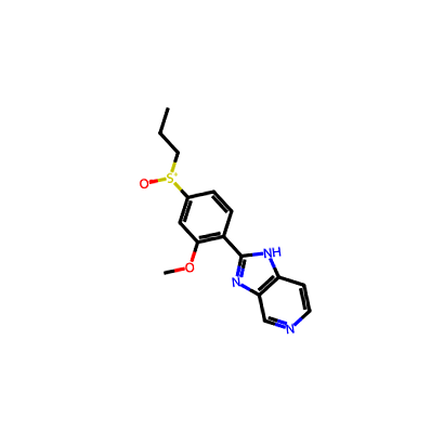 CCC[S+]([O-])c1ccc(-c2nc3cnccc3[nH]2)c(OC)c1